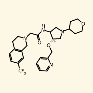 O=C(CN1CCc2ccc(C(F)(F)F)cc2C1)NC1CN(C2CCOCC2)C[C@@H]1OCc1ccccn1